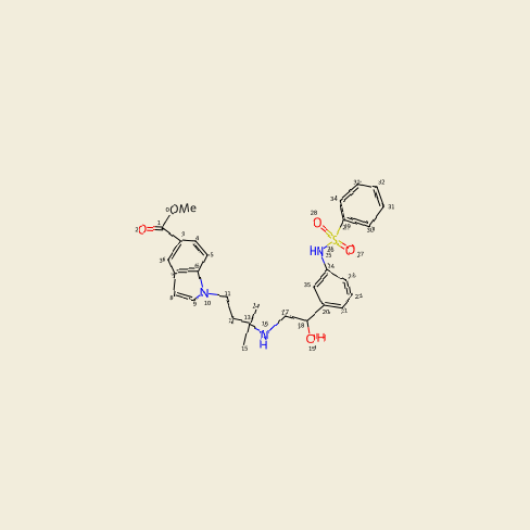 COC(=O)c1ccc2c(ccn2CCC(C)(C)NCC(O)c2cccc(NS(=O)(=O)c3ccccc3)c2)c1